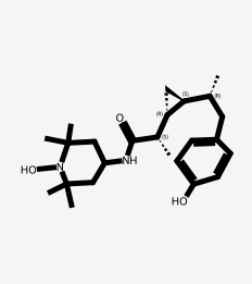 C[C@H](Cc1ccc(O)cc1)[C@@H]1C[C@H]1[C@H](C)C(=O)NC1CC(C)(C)N(O)C(C)(C)C1